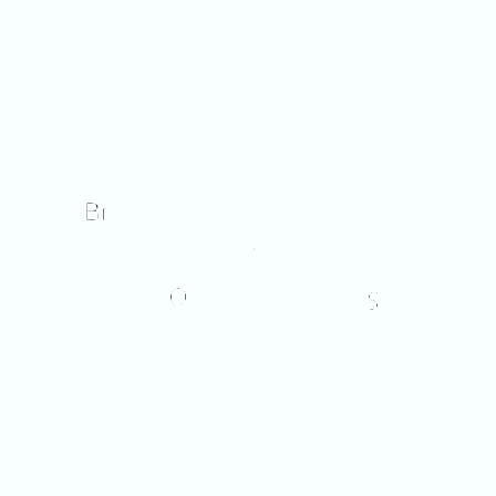 O=C(CBr)C1=CC=CSC1